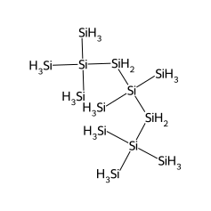 [SiH3][Si]([SiH3])([SiH3])[SiH2][Si]([SiH3])([SiH3])[SiH2][Si]([SiH3])([SiH3])[SiH3]